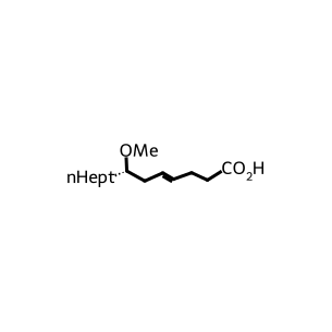 CCCCCCC[C@@H](C/C=C/CCC(=O)O)OC